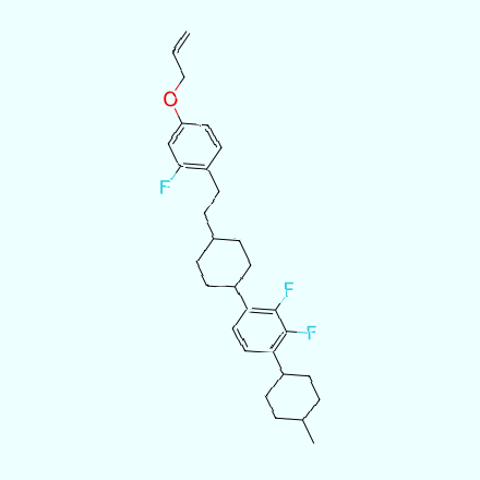 C=CCOc1ccc(CCC2CCC(c3ccc(C4CCC(C)CC4)c(F)c3F)CC2)c(F)c1